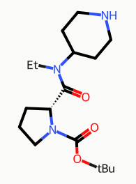 CCN(C(=O)[C@H]1CCCN1C(=O)OC(C)(C)C)C1CCNCC1